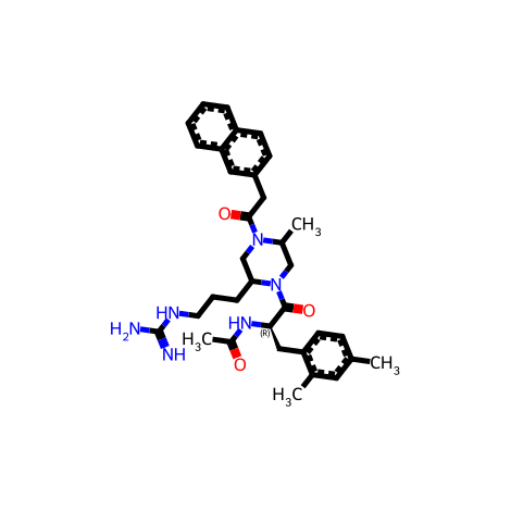 CC(=O)N[C@H](Cc1ccc(C)cc1C)C(=O)N1CC(C)N(C(=O)Cc2ccc3ccccc3c2)CC1CCCNC(=N)N